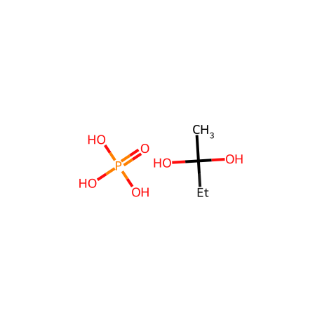 CCC(C)(O)O.O=P(O)(O)O